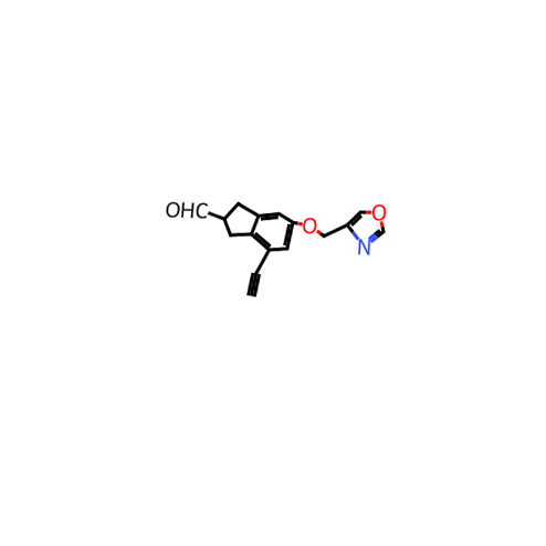 C#Cc1cc(OCc2cocn2)cc2c1CC(C=O)C2